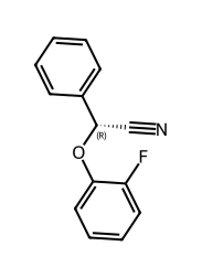 N#C[C@H](Oc1ccccc1F)c1ccccc1